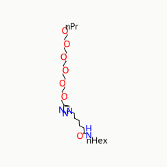 CCCCCCNC(=O)CCCCCn1cc(COCCOCCOCCOCCOCCOCCC)nn1